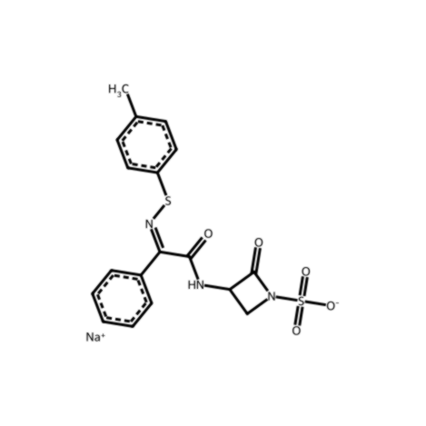 Cc1ccc(SN=C(C(=O)NC2CN(S(=O)(=O)[O-])C2=O)c2ccccc2)cc1.[Na+]